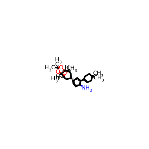 CC1(C)CC=C(c2cc([C@@H]3C[C@@]4(C)O[C@@](C)(C3)[C@@H]3OC(C)(C)O[C@@H]34)ccc2N)CC1